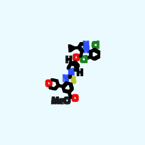 COC(=O)c1cc(C2CCOCC2)c2nc(N3C[C@@H]4C[C@H]3C[C@H]4OCc3c(C4CC4)cnn3-c3c(Cl)cccc3Cl)sc2c1